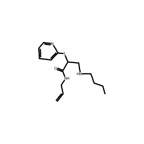 C=CCNC(=O)C(CNCCCC)Sc1ccccn1